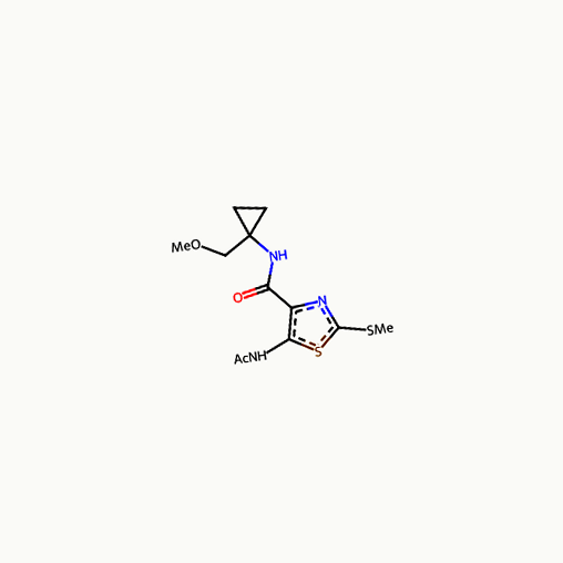 COCC1(NC(=O)c2nc(SC)sc2NC(C)=O)CC1